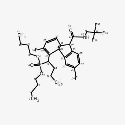 CCCCOP(=O)(OCCCC)C(CCC)c1c(F)ccc2c1-c1cc(F)ccc1C2C(=O)NCC(F)(F)F